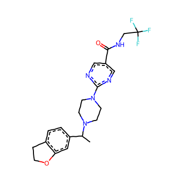 CC(c1ccc2c(c1)OCC2)N1CCN(c2ncc(C(=O)NCC(F)(F)F)cn2)CC1